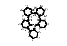 C1=Cc2c(n3c4ccccc4c4ccccc4c4ccccc4c4cccc2c43)CC1